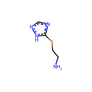 NCCSc1ncn[nH]1